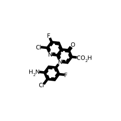 Nc1cc(-n2cc(C(=O)O)c(=O)c3cc(F)c(Cl)nc32)c(F)cc1Cl